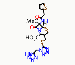 COC1(NC(=O)Cc2cccs2)C(=O)N2C(C(=O)O)=C(CSc3nnnn3Cc3nnn[nH]3)CS[C@H]21